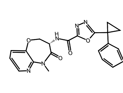 CN1C(=O)[C@@H](NC(=O)c2nnc(C3(c4ccccc4)CC3)o2)COc2cccnc21